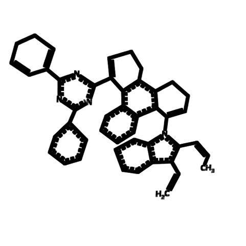 C=Cc1c(/C=C\C)n(C2=CCCc3c4c(c5ccccc5c32)C(c2nc(C3=CCCC=C3)nc(-c3ccccc3)n2)=CCC4)c2ccccc12